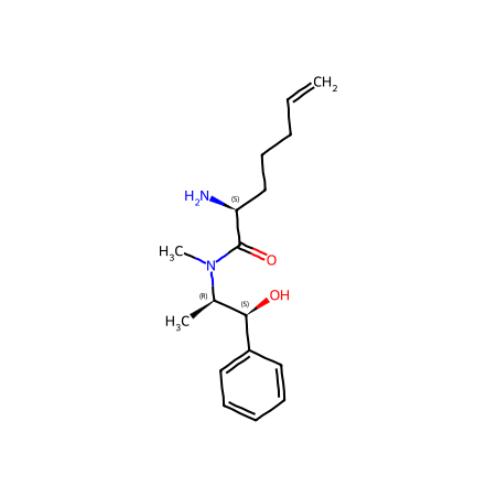 C=CCCC[C@H](N)C(=O)N(C)[C@H](C)[C@@H](O)c1ccccc1